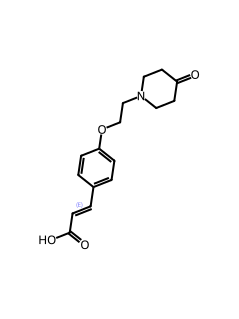 O=C(O)/C=C/c1ccc(OCCN2CCC(=O)CC2)cc1